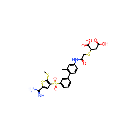 CSc1sc(C(=N)N)cc1S(=O)(=O)c1cccc(-c2ccc(NC(=O)CSC(CC(=O)O)C(=O)O)cc2C)c1